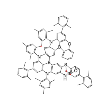 Cc1cc(C)c(N2c3cc4c(cc3B3c5ccccc5Oc5cc(-c6c(C)cccc6C)cc2c53)B2c3cc5c(cc3N(c3c(C)cc(C)cc3C)c3cc(-c6c(C)cccc6C)cc(c32)N4c2c(C)cc(C)cc2C)Nc2cc(-c3c(C)cccc3C)cc3c2B5c2ccccc2O3)c(C)c1